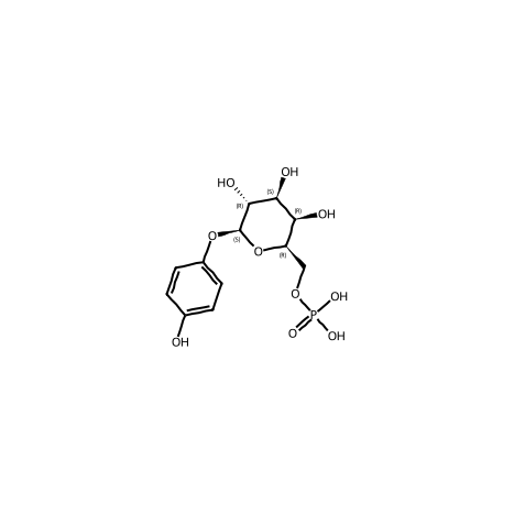 O=P(O)(O)OC[C@H]1O[C@@H](Oc2ccc(O)cc2)[C@H](O)[C@@H](O)[C@H]1O